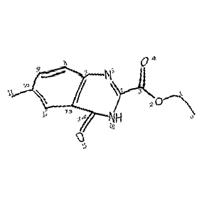 CCOC(=O)c1nc2ccc(C)cc2c(=O)[nH]1